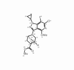 COc1nc(Cl)c(F)c2c1c(N1C[C@@H]3CCC1CN3C(=O)OC(C)(C)C)nn2C1CC1